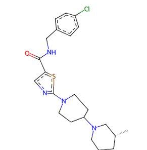 C[C@@H]1CCCN(C2CCN(c3ncc(C(=O)NCc4ccc(Cl)cc4)s3)CC2)C1